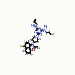 C=CCNc1nc(NCC=C)nc(N2CCC(N(C(C)=O)c3ccc(F)c4ccccc34)CC2)n1